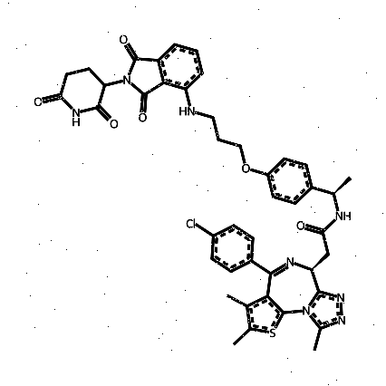 Cc1sc2c(c1C)C(c1ccc(Cl)cc1)=N[C@@H](CC(=O)N[C@H](C)c1ccc(OCCCNc3cccc4c3C(=O)N(C3CCC(=O)NC3=O)C4=O)cc1)c1nnc(C)n1-2